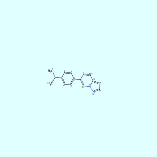 CC(C)c1ccc(-c2cnc3ccnn3c2)cc1